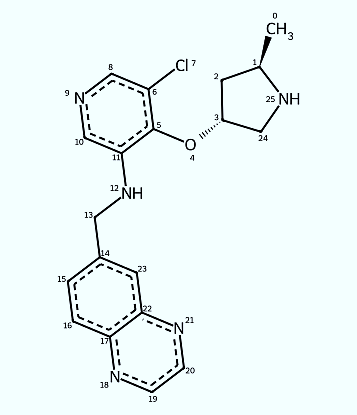 C[C@@H]1C[C@@H](Oc2c(Cl)cncc2NCc2ccc3nccnc3c2)CN1